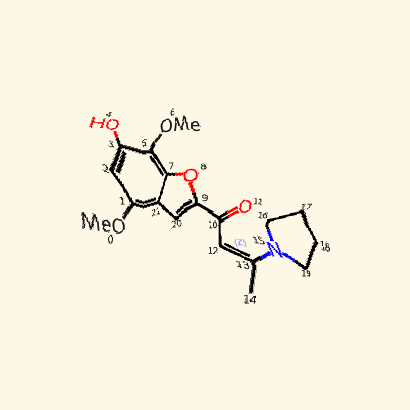 COc1cc(O)c(OC)c2oc(C(=O)/C=C(/C)N3CCCC3)cc12